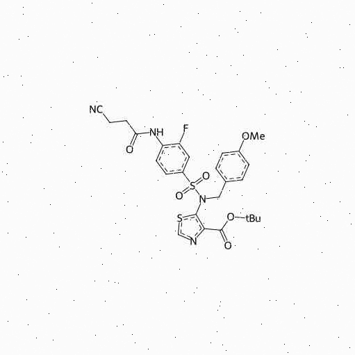 COc1ccc(CN(c2scnc2C(=O)OC(C)(C)C)S(=O)(=O)c2ccc(NC(=O)CCC#N)c(F)c2)cc1